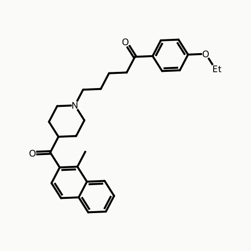 CCOc1ccc(C(=O)CCCCN2CCC(C(=O)c3ccc4ccccc4c3C)CC2)cc1